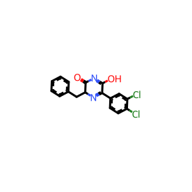 O=C1N=C(O)C(c2ccc(Cl)c(Cl)c2)=NC1Cc1ccccc1